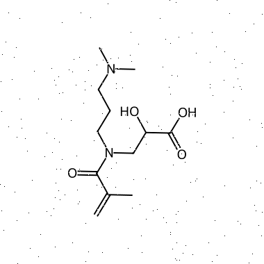 C=C(C)C(=O)N(CCCN(C)C)CC(O)C(=O)O